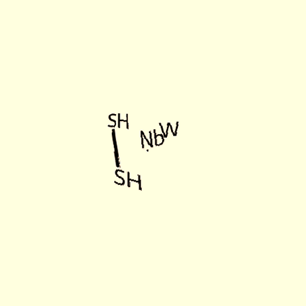 SS.[Nb].[W]